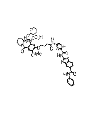 COc1cc2c(cc1OCCCC(=O)Nc1cn(C)c(C(=O)Nc3nc4cc(C(=O)Nc5ccccc5)ccc4s3)n1)N(C(=O)O)[C@@H](OC1CCCCO1)[C@@H]1CCCCN1C2=O